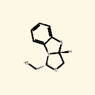 SC[C@H]1SC[C@H]2Sc3ccccc3N12